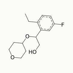 CCc1ccc(F)cc1C(CO)OC1CCOCC1